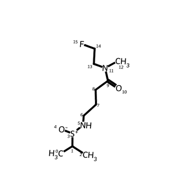 CC(C)[S+]([O-])NCCCC(=O)N(C)CCF